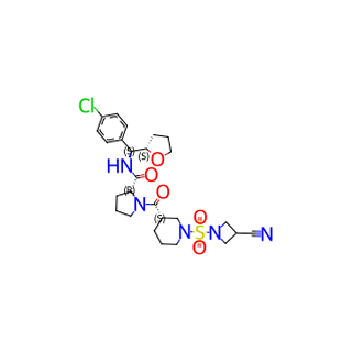 N#CC1CN(S(=O)(=O)N2CCC[C@H](C(=O)N3CCC[C@@H]3C(=O)N[C@@H](c3ccc(Cl)cc3)[C@@H]3CCCO3)C2)C1